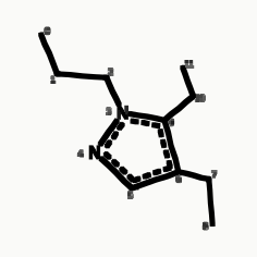 CCCn1n[c]c(CC)c1CC